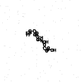 O=S(=O)(CCO)c1cccc(OCC(O)CN[C@H]2COC3(CCN(S(=O)(=O)c4cccc(-c5cccc(C(F)(F)F)n5)c4)CC3)C2)c1